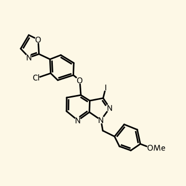 COc1ccc(Cn2nc(I)c3c(Oc4ccc(-c5ncco5)c(Cl)c4)ccnc32)cc1